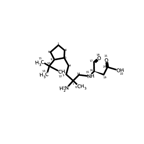 CC(N)(CCC1CCCC1C(C)(C)C)CN[C@@H](C=O)CC(=O)O